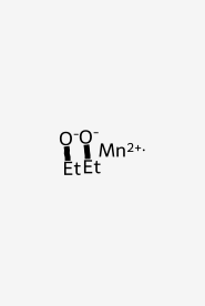 CC[O-].CC[O-].[Mn+2]